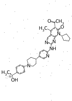 CC(=O)c1c(C)c2cnc(Nc3ccc(C4CCN(c5ccc([C@H](C)O)cc5)CC4)cn3)nc2n(C2CCCC2)c1=O